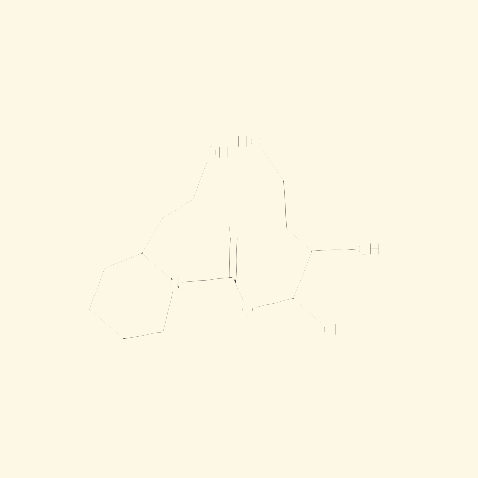 CC(CCO)C(C)OC(=O)N1CCCCC1CCO